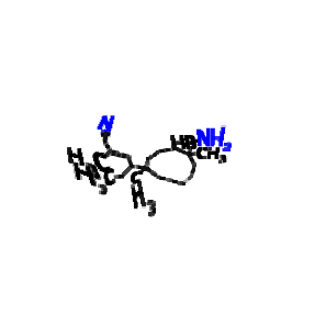 CCC(/C=C(\C)C#N)C1(C)CCCCC(C)(BN)CCC1